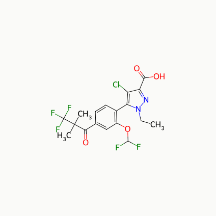 CCn1nc(C(=O)O)c(Cl)c1-c1ccc(C(=O)C(C)(C)C(F)(F)F)cc1OC(F)F